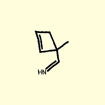 CC1(C=N)C=CC1